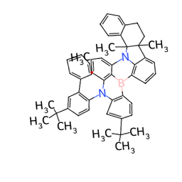 Cc1cc2c3c(c1)N1c4c(cccc4C4(C)CCc5ccccc5C14C)B3c1ccc(C(C)(C)C)cc1N2c1ccc(C(C)(C)C)cc1-c1ccccc1